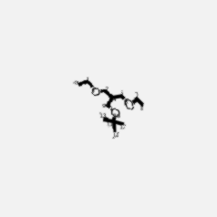 CCOCC(COCC)COC(C)(C)C